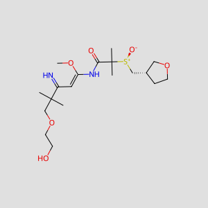 CO/C(=C\C(=N)C(C)(C)COCCO)NC(=O)C(C)(C)[S@@+]([O-])C[C@H]1CCOC1